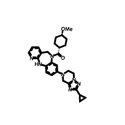 CO[C@H]1CC[C@H](C(=O)N2Cc3cccnc3Nc3ccc(N4CCn5nc(C6CC6)nc5C4)cc32)CC1